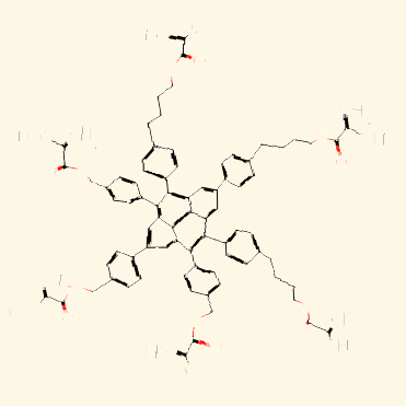 C=C(C)C(=O)OCCCCc1ccc(-c2cc3c(-c4ccc(CCCCOC(=O)C(=C)C)cc4)c(-c4ccc(COC(=O)C(=C)C)cc4)c4cc(-c5ccc(COC(=O)C(=C)C)cc5)cc5c(-c6ccc(COC(=O)C(=C)C)cc6)c(-c6ccc(CCCCOC(=O)C(=C)C)cc6)c(c2)c3c45)cc1